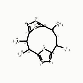 CC1CC(C)c2nnc(s2)C(C)C(C)c2nnc1o2